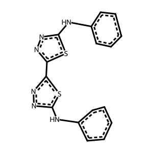 c1ccc(Nc2nnc(-c3nnc(Nc4ccccc4)s3)s2)cc1